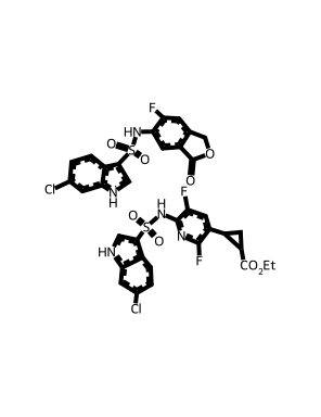 CCOC(=O)C1CC1c1cc(F)c(NS(=O)(=O)c2c[nH]c3cc(Cl)ccc23)nc1F.O=C1OCc2cc(F)c(NS(=O)(=O)c3c[nH]c4cc(Cl)ccc34)cc21